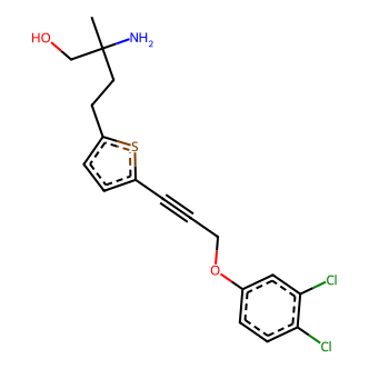 CC(N)(CO)CCc1ccc(C#CCOc2ccc(Cl)c(Cl)c2)s1